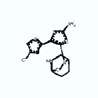 Nc1nc(-c2cc(Cl)cs2)c(N2CC3CCC2CN3)s1